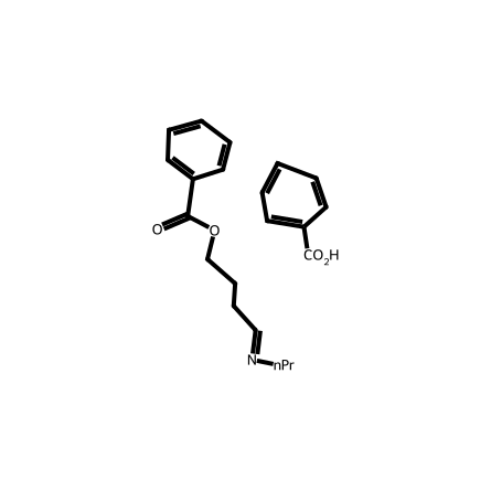 CCCN=CCCCOC(=O)c1ccccc1.O=C(O)c1ccccc1